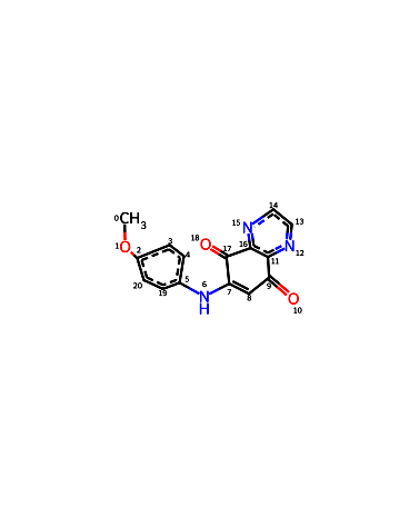 COc1ccc(NC2=CC(=O)c3nccnc3C2=O)cc1